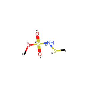 COS(=O)(=O)NSC